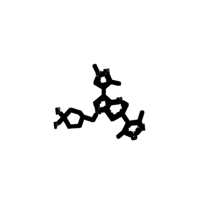 Cc1nn(C)cc1-c1cn(CC2CCC(F)(F)CC2)c2cc(-c3c(C)noc3C)cnc12